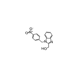 O=[N+]([O-])c1ccc(Cn2c(CO)nc3ccccc32)cc1